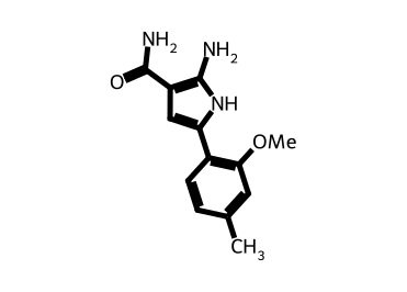 COc1cc(C)ccc1-c1cc(C(N)=O)c(N)[nH]1